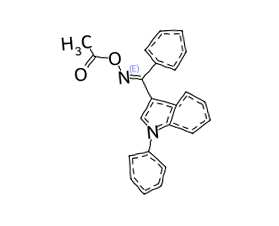 CC(=O)O/N=C(\c1ccccc1)c1cn(-c2ccccc2)c2ccccc12